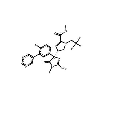 COC(=O)C1=CC([C@]2(c3ccc(F)c(-c4cncnc4)c3)N=C(N)N(C)C2=O)CN1CC(F)(F)F